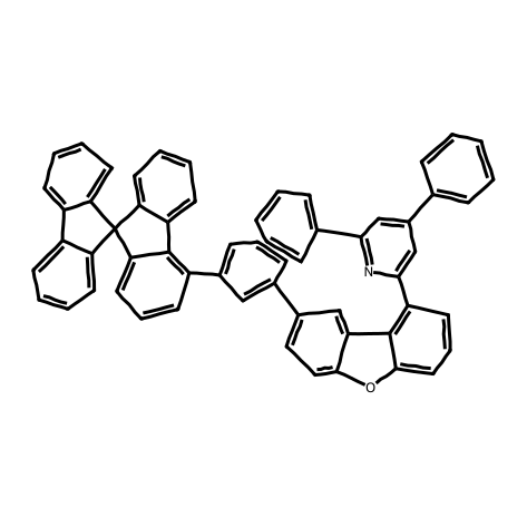 c1ccc(-c2cc(-c3ccccc3)nc(-c3cccc4oc5ccc(-c6cccc(-c7cccc8c7-c7ccccc7C87c8ccccc8-c8ccccc87)c6)cc5c34)c2)cc1